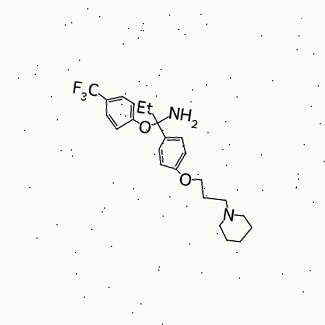 [CH2]CC(N)(Oc1ccc(C(F)(F)F)cc1)c1ccc(OCCCN2CCCCC2)cc1